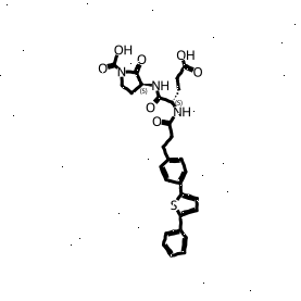 O=C(O)CC[C@H](NC(=O)CCc1ccc(-c2ccc(-c3ccccc3)s2)cc1)C(=O)N[C@H]1CCN(C(=O)O)C1=O